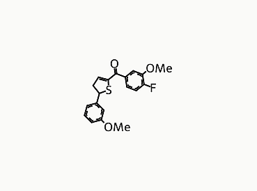 COc1cccc(C2CC=C(C(=O)c3ccc(F)c(OC)c3)S2)c1